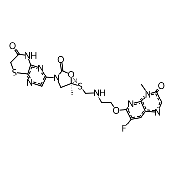 Cn1c(=O)cnc2cc(F)c(OCCNCS[C@@]3(C)CN(c4cnc5c(n4)NC(=O)CS5)C(=O)O3)nc21